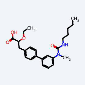 CCCCCNC(=O)N(C)c1cccc(-c2ccc(CC(OCC)C(=O)O)cc2)c1